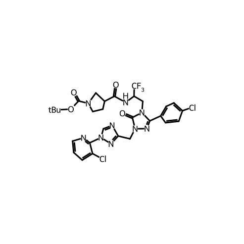 CC(C)(C)OC(=O)N1CCC(C(=O)NC(Cn2c(-c3ccc(Cl)cc3)nn(Cc3ncn(-c4ncccc4Cl)n3)c2=O)C(F)(F)F)C1